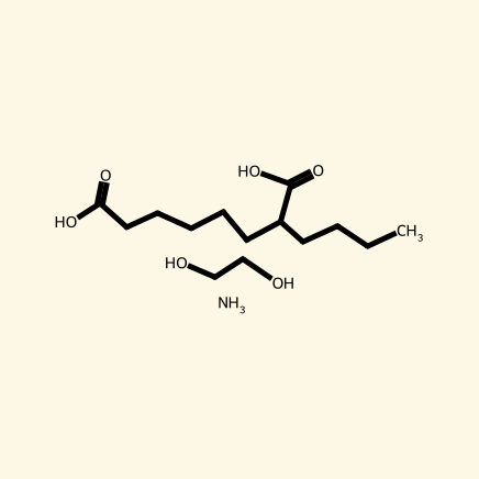 CCCCC(CCCCCC(=O)O)C(=O)O.N.OCCO